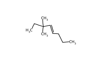 CCCC=CC(C)(C)CC